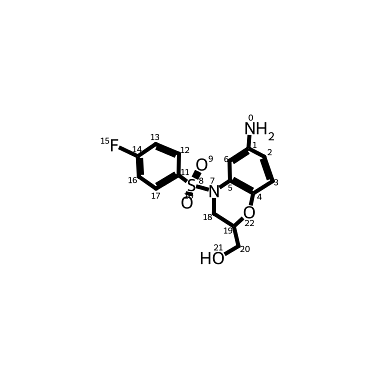 Nc1ccc2c(c1)N(S(=O)(=O)c1ccc(F)cc1)CC(CO)O2